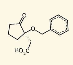 O=C(O)C[C@]1(OCc2ccccc2)CCCC1=O